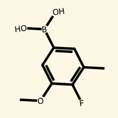 COc1cc(B(O)O)cc(C)c1F